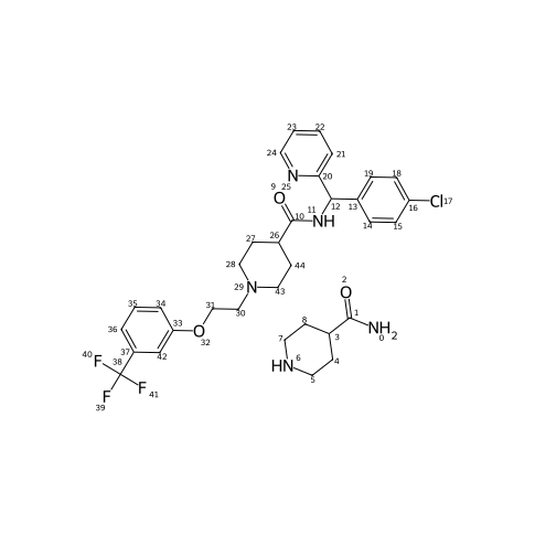 NC(=O)C1CCNCC1.O=C(NC(c1ccc(Cl)cc1)c1ccccn1)C1CCN(CCOc2cccc(C(F)(F)F)c2)CC1